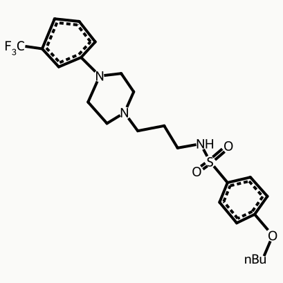 CCCCOc1ccc(S(=O)(=O)NCCCN2CCN(c3cccc(C(F)(F)F)c3)CC2)cc1